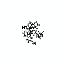 Cc1nc(C)nc(-c2cc(-n3c4ccccc4c4ccc(C#N)cc43)c(C(F)(F)F)c(-n3c4ccccc4c4ccc(C#N)cc43)c2)n1